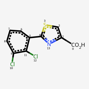 O=C(O)c1csc(-c2cccc(Cl)c2Cl)n1